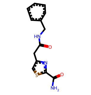 NC(=O)c1nc(CC(=O)NCc2ccccc2)cs1